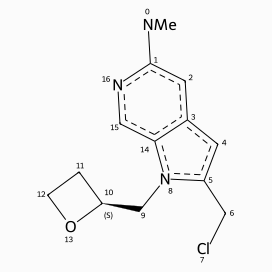 CNc1cc2cc(CCl)n(C[C@@H]3CCO3)c2cn1